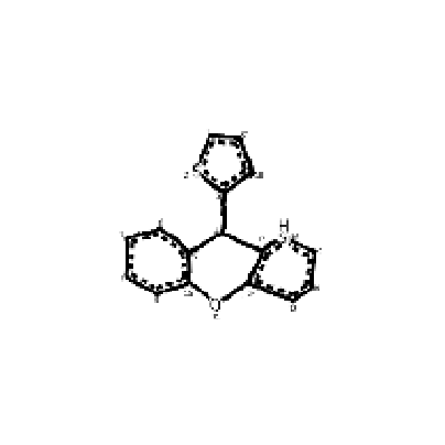 c1csc(C2c3ccccc3Oc3ccc[siH]c32)c1